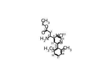 CCOC(=O)CC(N)c1ccnc(-c2c(C)cccc2C)c1.Cl